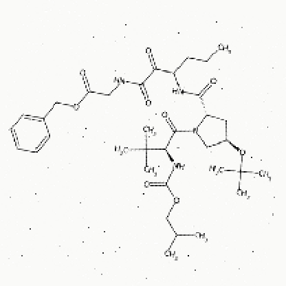 CCCC(NC(=O)[C@@H]1C[C@@H](OC(C)(C)C)CN1C(=O)[C@@H](NC(=O)OCC(C)C)C(C)(C)C)C(=O)C(=O)NCC(=O)OCc1ccccc1